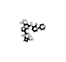 CNc1cc(Nc2cccn(C3CCOCC3)c2=O)nc2c(C(=O)NC3CC[C@@]3(C)O)cnn12